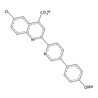 COc1ccc(-c2ccc(-c3cc(C(=O)O)c4cc(Cl)ccc4n3)nc2)cc1